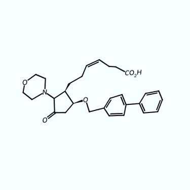 O=C(O)CC/C=C\CC[C@@H]1C(N2CCOCC2)C(=O)C[C@@H]1OCc1ccc(-c2ccccc2)cc1